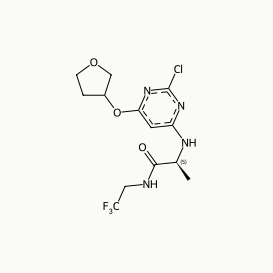 C[C@H](Nc1cc(OC2CCOC2)nc(Cl)n1)C(=O)NCC(F)(F)F